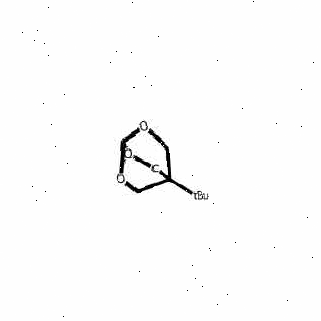 CC(C)(C)C12COC(OC1)OC2